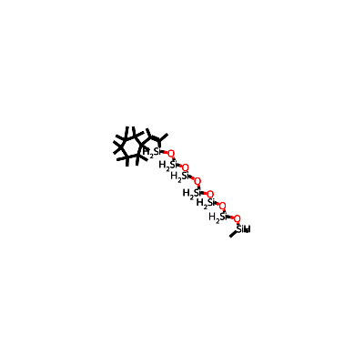 CC([SiH2]O[SiH2]O[SiH2]O[SiH2]O[SiH2]O[SiH2]O[SiH](C)C)=C(C)C1(C)C(C)(C)C(C)(C)C(C)(C)C(C)(C)C1(C)C